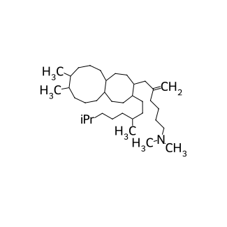 C=C(CCCCN(C)C)CC1CCC2CCCC(C)C(C)CCCC2CCC1CCC(C)CCCC(C)C